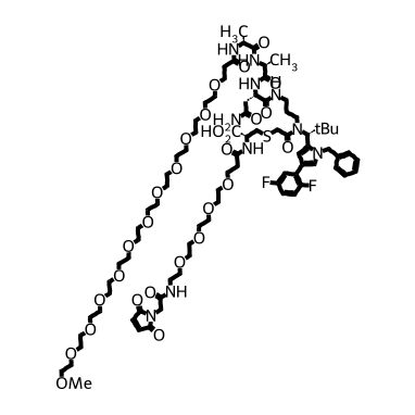 COCCOCCOCCOCCOCCOCCOCCOCCOCCOCCOCCOCCC(=O)N[C@H](C)C(=O)N[C@H](C)C(=O)N[C@@H](CC(N)=O)C(=O)NCCCN(C(=O)CSC[C@H](NC(=O)CCOCCOCCOCCOCCNC(=O)CN1C(=O)C=CC1=O)C(=O)O)[C@@H](c1cc(-c2cc(F)ccc2F)cn1Cc1ccccc1)C(C)(C)C